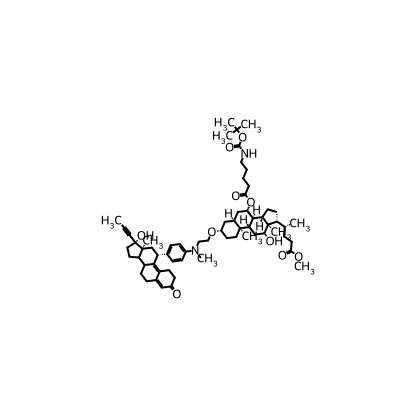 CC#C[C@]1(O)CCC2C3CCC4=CC(=O)CCC4=C3[C@@H](c3ccc(N(C)CCO[C@H]4CC[C@@]5(C)[C@@H](C4)C[C@@H](OC(=O)CCCCNC(=O)OC(C)(C)C)[C@@H]4[C@@H]5C[C@H](O)[C@]5(C)[C@@H]([C@H](C)CCC(=O)OC)CC[C@@H]45)cc3)C[C@@]21C